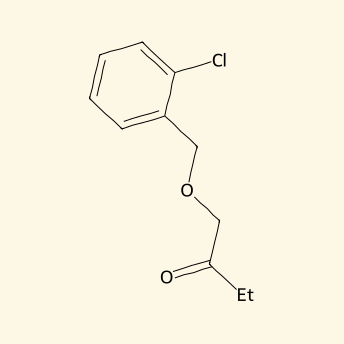 CCC(=O)COCc1ccccc1Cl